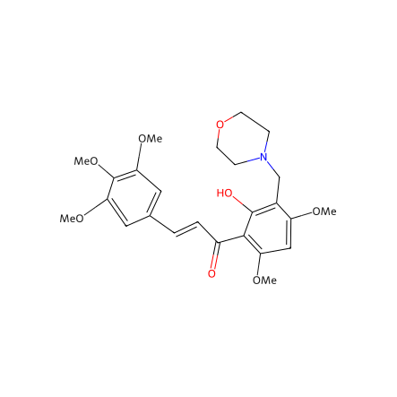 COc1cc(OC)c(C(=O)/C=C/c2cc(OC)c(OC)c(OC)c2)c(O)c1CN1CCOCC1